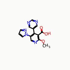 COc1ncc(-n2cccn2)c(-c2cncnc2)c1C(=O)O